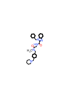 CN(Cc1ccc(CN2CCCCC2)cc1)C(=O)CNC(=O)c1nc2ccccc2n1Cc1ccccc1